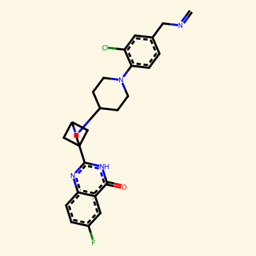 C=NCc1ccc(N2CCC(N3CC4(c5nc6ccc(F)cc6c(=O)[nH]5)CC3C4)CC2)c(Cl)c1